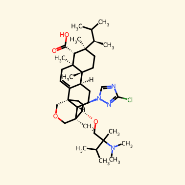 CC(C)[C@@H](C)[C@@]1(C)CC[C@]2(C)[C@H]3CC[C@@H]4[C@@]5(COC[C@]4(C)[C@@H](OCC(C)(C(C)C)N(C)C)[C@H](n4cnc(Cl)n4)C5)C3=CC[C@@]2(C)[C@@H]1C(=O)O